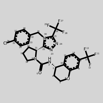 O=C(N[C@H]1CCOc2cc(C(F)(F)F)ccc21)N1CCC[C@@H]1c1nnc(C(F)(F)F)n1Cc1ccc(Cl)cc1